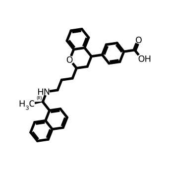 C[C@@H](NCCCC1CC(c2ccc(C(=O)O)cc2)c2ccccc2O1)c1cccc2ccccc12